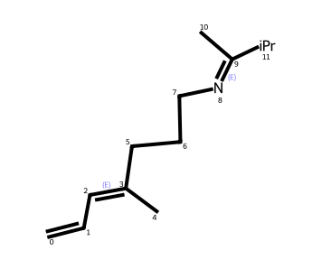 C=C/C=C(\C)CCC/N=C(\C)C(C)C